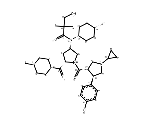 CN1CCN(C(=O)[C@@H]2C[C@H](N(C(=O)C(C)(C)CO)[C@H]3CC[C@@H](C)CC3)CN2C(=O)[C@@H]2CN(C3CC3)C[C@H]2c2ccc(Cl)cc2)CC1